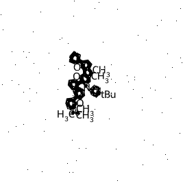 CC(C)(C)c1ccc(N(c2ccc3c(c2)oc2c([Si](C)(C)C)cccc23)c2cc3c(c4oc5ccccc5c24)-c2c(ccc4c2oc2ccccc24)C3(C)C)cc1